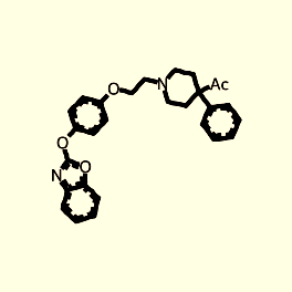 CC(=O)C1(c2ccccc2)CCN(CCOc2ccc(Oc3nc4ccccc4o3)cc2)CC1